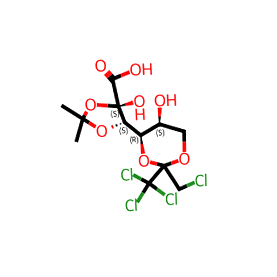 CC1(C)O[C@@H]([C@@H]2OC(CCl)(C(Cl)(Cl)Cl)OC[C@@H]2O)[C@@](O)(C(=O)O)O1